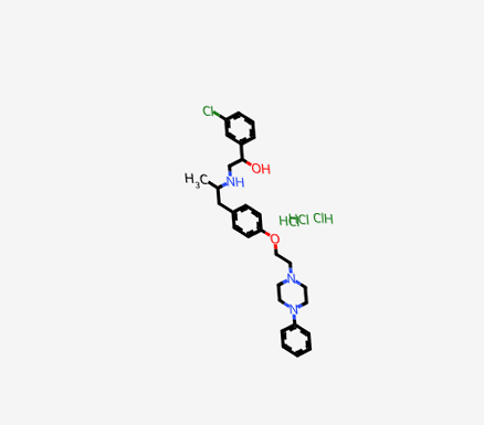 CC(Cc1ccc(OCCN2CCN(c3ccccc3)CC2)cc1)NCC(O)c1cccc(Cl)c1.Cl.Cl.Cl